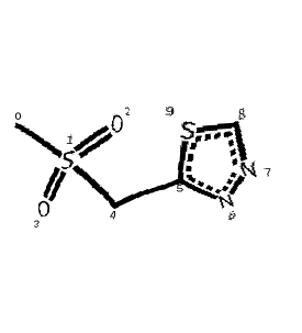 CS(=O)(=O)Cc1nncs1